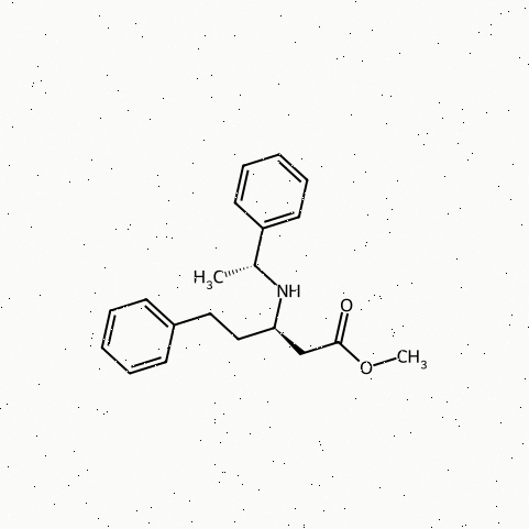 COC(=O)C[C@@H](CCc1ccccc1)N[C@H](C)c1ccccc1